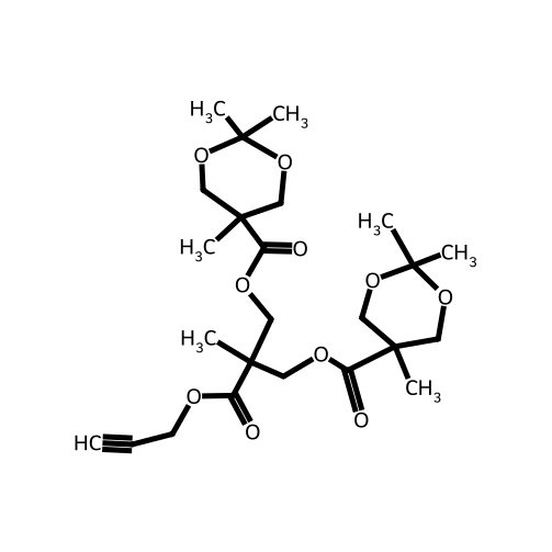 C#CCOC(=O)C(C)(COC(=O)C1(C)COC(C)(C)OC1)COC(=O)C1(C)COC(C)(C)OC1